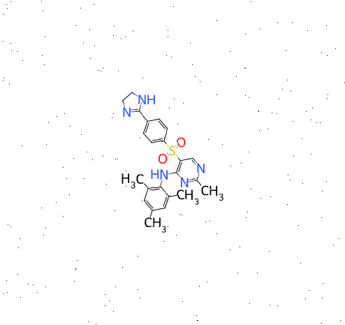 Cc1cc(C)c(Nc2nc(C)ncc2S(=O)(=O)c2ccc(C3=NCCN3)cc2)c(C)c1